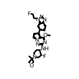 COc1nc(N[C@H]2CCN(C3(C)COC3)C[C@H]2F)nn2ccc(-c3ccc4nnn(CCF)c4c3)c12